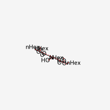 CCCCCC/C=C\COC(CCC(=O)OCCCCCCN(CCCO)CCCCCCOC(=O)CCC(OC/C=C\CCCCCC)OC/C=C\CCCCCC)OC/C=C\CCCCCC